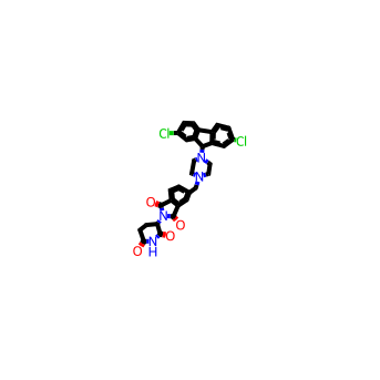 O=C1CCC(N2C(=O)c3ccc(CN4CCN(C5c6cc(Cl)ccc6-c6ccc(Cl)cc65)CC4)cc3C2=O)C(=O)N1